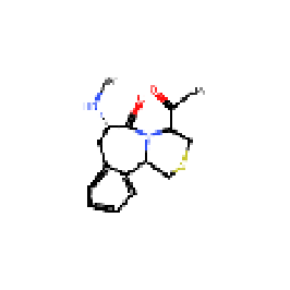 CC(C)N[C@H]1Cc2ccccc2C2CSCC(C(=O)C(C)C)N2C1=O